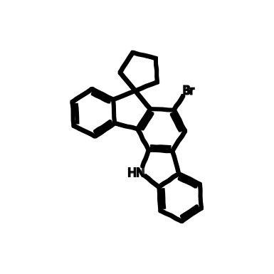 Brc1cc2c([nH]c3ccccc32)c2c1C1(CCCC1)c1ccccc1-2